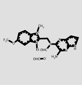 CCn1c(CN(C=O)c2nc3cc[nH]c3nc2N)[n+](C)c2ccc(OC(F)(F)F)cc21.O=C[O-]